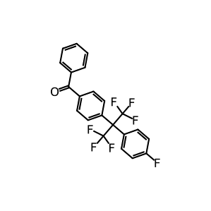 O=C(c1ccccc1)c1ccc(C(c2ccc(F)cc2)(C(F)(F)F)C(F)(F)F)cc1